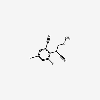 COCC(C#N)c1c(F)cc(Cl)cc1C#N